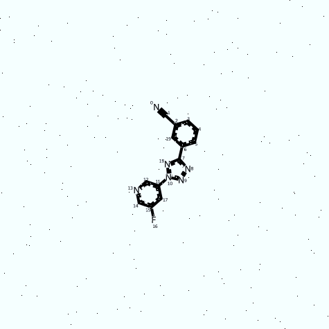 N#Cc1cccc(-c2nnn(-c3cncc(F)c3)n2)c1